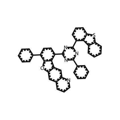 c1ccc(-c2nc(-c3cccc4sc5ccccc5c34)nc(-c3ccc(-c4ccccc4)c4oc5cc6cccnc6cc5c34)n2)cc1